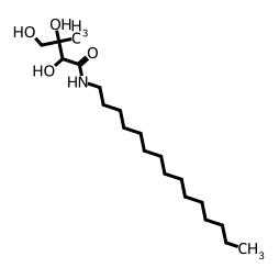 CCCCCCCCCCCCCCCNC(=O)C(O)C(C)(O)CO